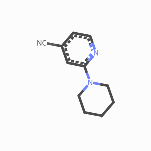 N#Cc1ccnc(N2CC[CH]CC2)c1